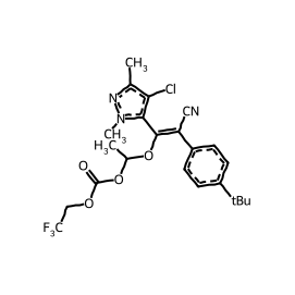 Cc1nn(C)c(/C(OC(C)OC(=O)OCC(F)(F)F)=C(\C#N)c2ccc(C(C)(C)C)cc2)c1Cl